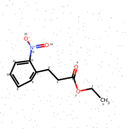 CCOC(=O)CCc1ccccc1[N+](=O)[O-]